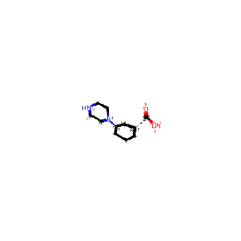 O=C(O)[C@@H]1CCC[C@@H](N2CCNCC2)C1